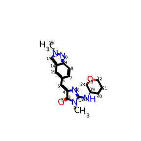 CN1C(=O)/C(=C/c2ccc3nn(C)cc3c2)N=C1N[C@H]1CCCOC1